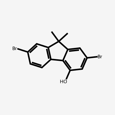 CC1(C)c2cc(Br)ccc2-c2c(O)cc(Br)cc21